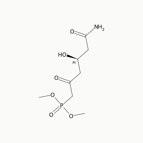 COP(=O)(CC(=O)C[C@@H](O)CC(N)=O)OC